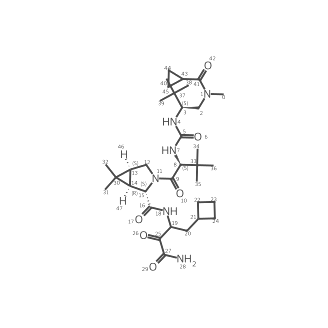 CN(C[C@@H](NC(=O)N[C@H](C(=O)N1C[C@H]2[C@@H]([C@H]1C(=O)NC(CC1CCC1)C(=O)C(N)=O)C2(C)C)C(C)(C)C)C(C)(C)C)C(=O)C1CC1